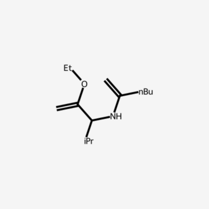 C=C(CCCC)NC(C(=C)OCC)C(C)C